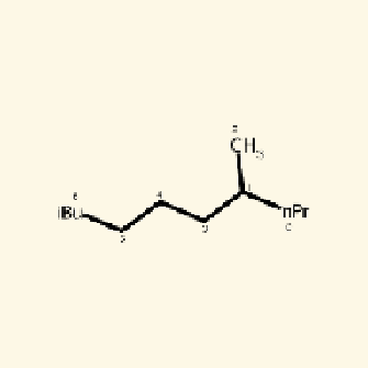 [CH2]CCC(C)CCCC(C)CC